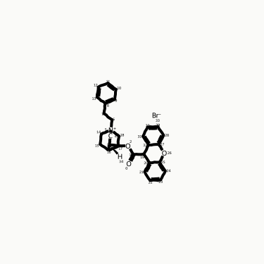 O=C(O[C@H]1C[N+]2(CCc3ccccc3)CCC1CC2)C1c2ccccc2Oc2ccccc21.[Br-]